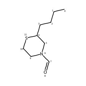 CCCCC1CN(C=O)CCS1